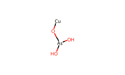 O[As](O)[O][Cu]